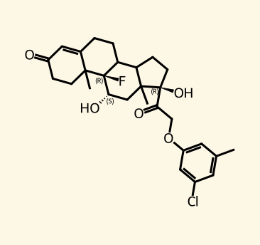 Cc1cc(Cl)cc(OCC(=O)[C@@]2(O)CCC3C4CCC5=CC(=O)CCC5(C)[C@@]4(F)[C@@H](O)CC32C)c1